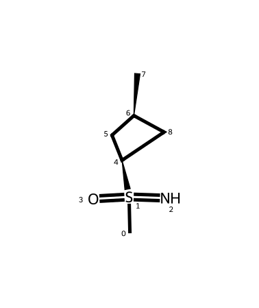 CS(=N)(=O)[C@H]1C[C@@H](C)C1